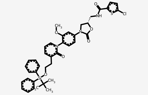 COc1cc(N2C[C@H](CNC(=O)c3ccc(Cl)s3)OC2=O)ccc1-n1cccc(CCO[Si](c2ccccc2)(c2ccccc2)C(C)(C)C)c1=O